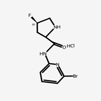 Cl.O=C(Nc1cccc(Br)n1)C1C[C@@H](F)CN1